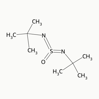 CC(C)(C)N=S(=O)=NC(C)(C)C